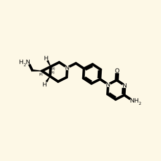 NC[C@@H]1[C@H]2CCN(Cc3ccc(-n4ccc(N)nc4=O)cc3)C[C@@H]12